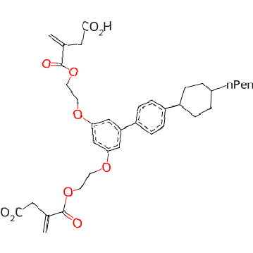 C=C(CC(=O)O)C(=O)OCCOc1cc(OCCOC(=O)C(=C)CC(=O)O)cc(-c2ccc(C3CCC(CCCCC)CC3)cc2)c1